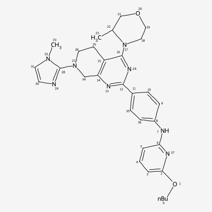 CCCCOc1cccc(Nc2ccc(-c3nc4c(c(N5CCOCC5C)n3)CCN(c3nccn3C)C4)cc2)n1